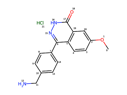 COc1ccc2c(-c3ccc(CN)cc3)n[nH]c(=O)c2c1.Cl